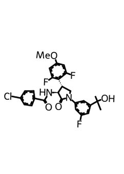 COc1cc(F)c([C@@H]2CN(c3cc(F)cc(C(C)(C)O)c3)C(=O)[C@H]2NC(=O)c2ccc(Cl)cc2)c(F)c1